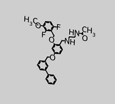 COc1ccc(F)c(COc2cc(OCc3cccc(-c4ccccc4)c3)ccc2CNCCNC(C)=O)c1F